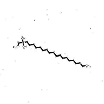 CCCCCCCCC=CCCCCCCCCC[N+](O)(O)CC